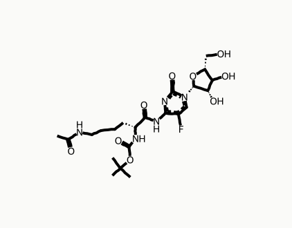 CC(=O)NCCCC[C@@H](NC(=O)OC(C)(C)C)C(=O)Nc1nc(=O)n([C@@H]2O[C@H](CO)C(O)[C@@H]2O)cc1F